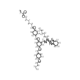 C=CC(=O)OCCCCCCOc1ccc(COc2ccc(OCc3ccc(OCCCC)cc3)cc2/C=N/N(CCCCCC)c2nc3ccccc3s2)cc1